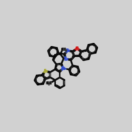 CC1C=Cc2c3c(n(-c4ccccc4-c4nc(-c5ccccc5)nc5oc6c7ccccc7ccc6c45)c2C1)C1C=CC=CC1(C)c1c-3sc2ccccc12